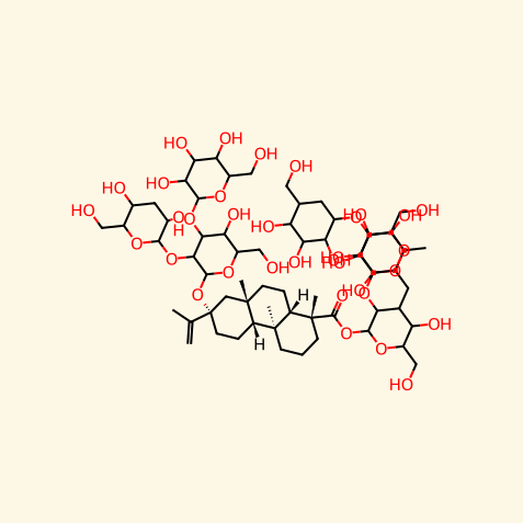 C=C(C)[C@]1(OC2OC(CO)C(O)C(OC3OC(CO)C(O)C(O)C3O)C2OC2OC(CO)C(O)CC2O)CC[C@@H]2[C@@](C)(CC[C@H]3[C@@]2(C)CCC[C@@]3(C)C(=O)OC2OC(CO)C(O)C(CC3OC(CO)C(O)C(O)C3O)C2OC2OC(C)C(O)C(OC3CC(CO)C(O)C(O)C3O)C2O)C1